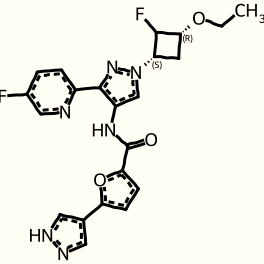 CCO[C@@H]1C[C@H](n2cc(NC(=O)c3ccc(-c4cn[nH]c4)o3)c(-c3ccc(F)cn3)n2)C1F